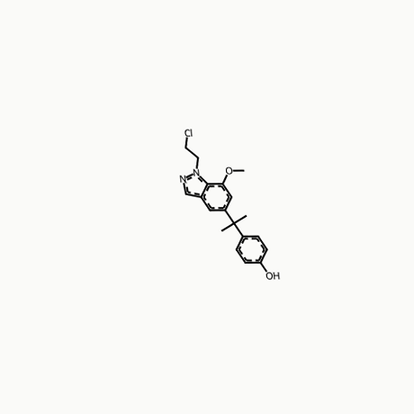 COc1cc(C(C)(C)c2ccc(O)cc2)cc2cnn(CCCl)c12